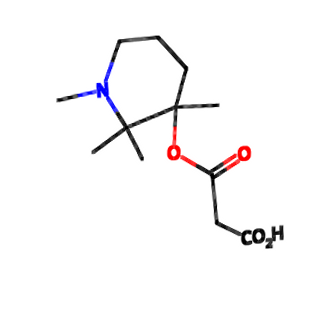 CN1CCCC(C)(OC(=O)CC(=O)O)C1(C)C